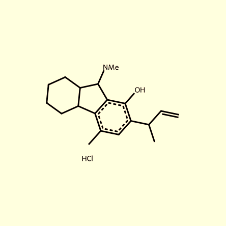 C=CC(C)c1cc(C)c2c(c1O)C(NC)C1CCCCC21.Cl